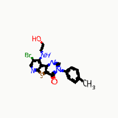 Cc1ccc(-n2cnc3c(sc4ncc(Br)c(NCCO)c43)c2=O)cc1